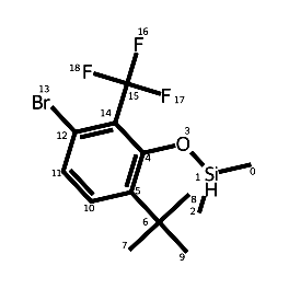 C[SiH](C)Oc1c(C(C)(C)C)ccc(Br)c1C(F)(F)F